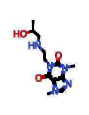 C[C@H](O)CNCCn1c(=O)c2c(ncn2C)n(C)c1=O